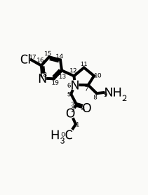 CCOC(=O)CN1C(CN)CCC1c1ccc(Cl)nc1